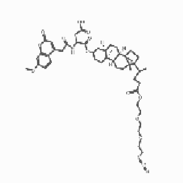 COc1ccc2c(CC(=O)N[C@@H](CC(=O)O)C(=O)O[C@@H]3CC[C@@]4(C)[C@H](CC[C@H]5[C@@H]6CCC(C(C)CCC(=O)OCCOCCOCCN=[N+]=[N-])C6(C)CC[C@@H]54)C3)cc(=O)oc2c1